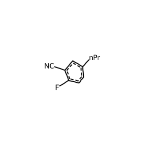 CCCc1ccc(F)c(C#N)c1